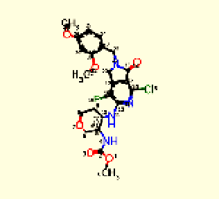 COC(=O)N[C@H]1COCC[C@H]1Nc1nc(Cl)c2c(c1F)CN(Cc1ccc(OC)cc1OC)C2=O